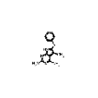 Cc1c(Sc2ccccc2)[nH]c2nc(N)nc(N)c12